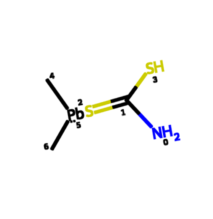 NC(=S)S.[CH3][Pb][CH3]